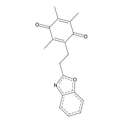 CC1=C(C)C(=O)C(CCc2nc3ccccc3o2)=C(C)C1=O